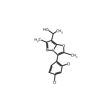 Cc1nn2c(-c3ccc(Cl)cc3Cl)c(C)oc2c1C(C)O